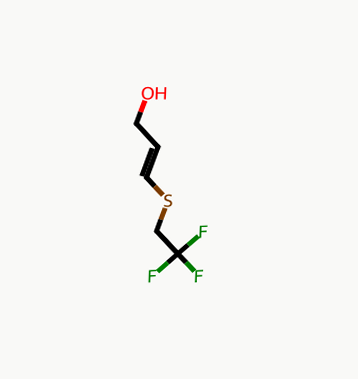 OC/C=C/SCC(F)(F)F